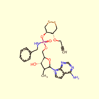 C#CCO[C@H]1CSSC[C@@H]1OP(=O)(NCc1ccccc1)OCC1OC(n2ccc3c(N)ncnc32)C(C)[C@@H]1O